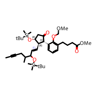 CC#CCC(C)C(/C=C/[C@@H]1[C@@H](c2cccc(CCCC(=O)OC)c2OCOC)C(=O)C[C@H]1O[Si](C)(C)C(C)(C)C)O[Si](C)(C)C(C)(C)C